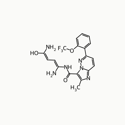 Cc1nc2ccc(-c3ccccc3OC(F)(F)F)nn2c1C(=O)N/C(N)=C/C=C(\N)O